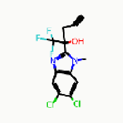 C#CCC(O)(c1nc2cc(Cl)c(Cl)cc2n1C)C(F)(F)F